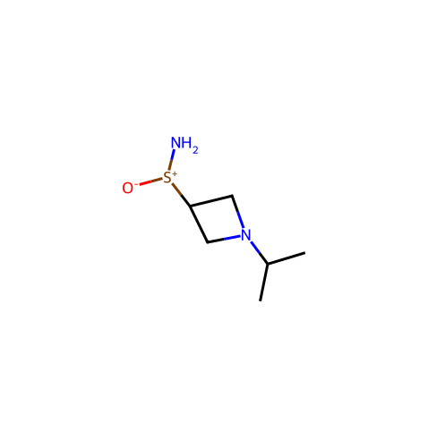 CC(C)N1CC([S+](N)[O-])C1